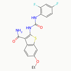 CCOc1ccc2c(C(N)=O)c(NC(=O)Nc3ccc(F)cc3F)sc2c1